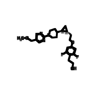 COCc1cnc(N2CCC([C@H]3C[C@@H]3CCOc3cc(F)c(CCO)c(F)c3)CC2)nc1